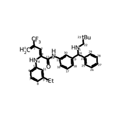 C=C(/C=C(\Nc1cccc(CC)c1)C(=O)Nc1cccc(C(NCC(C)(C)C)c2ccccc2)c1)C(F)(F)F